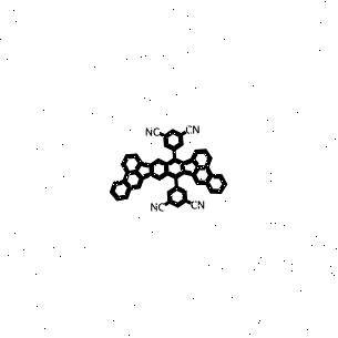 N#Cc1cc(C#N)cc(-c2c3cc4c(cc3c(-c3cc(C#N)cc(C#N)c3)c3c5cc6ccccc6c6cccc(c23)c65)c2cc3ccccc3c3cccc4c32)c1